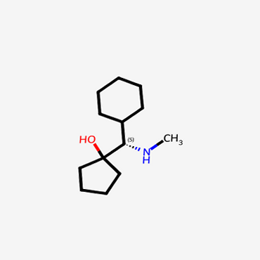 CN[C@@H](C1CCCCC1)C1(O)CCCC1